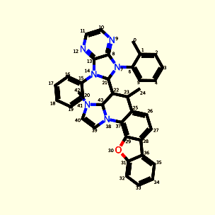 Cc1ccccc1N1c2nccnc2N(c2ccccc2)C1C1C(C)c2ccc3c(oc4ccccc43)c2N2C=CN(C)C12